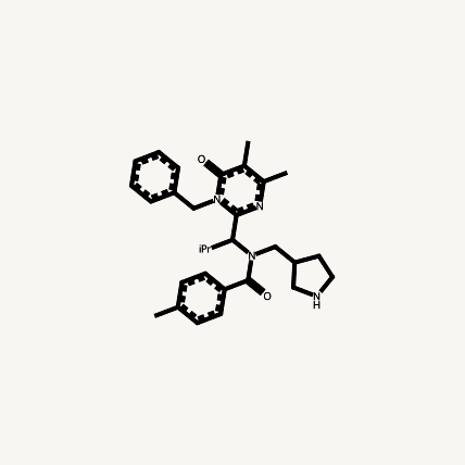 Cc1ccc(C(=O)N(CC2CCNC2)C(c2nc(C)c(C)c(=O)n2Cc2ccccc2)C(C)C)cc1